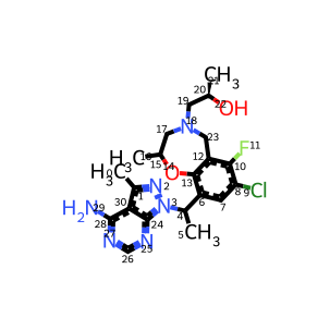 Cc1nn(C(C)c2cc(Cl)c(F)c3c2OC(C)CN(C[C@@H](C)O)C3)c2ncnc(N)c12